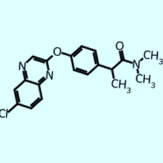 CC(C(=O)N(C)C)c1ccc(Oc2cnc3cc(Cl)ccc3n2)cc1